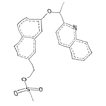 CC(Oc1ccc2ccc(COS(C)(=O)=O)cc2c1)c1ccc2ccccc2n1